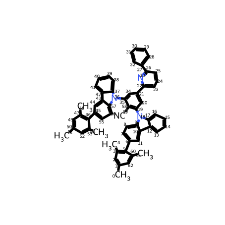 Cc1cc(C)c(-c2ccc3c(c2)c2ccccc2n3-c2cc(-c3cccc(-c4ccccc4)n3)cc(-n3c4ccccc4c4cc(-c5c(C)cc(C)cc5C)ccc43)c2C#N)c(C)c1